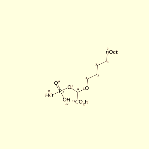 CCCCCCCCCCCCOC(OP(=O)(O)O)C(=O)O